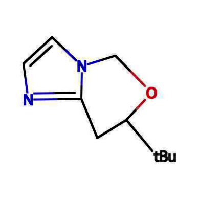 CC(C)(C)C1Cc2nccn2CO1